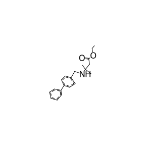 CCOC(=O)CC(C)(C)NCc1ccc(-c2ccccc2)cc1